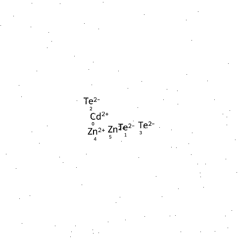 [Cd+2].[Te-2].[Te-2].[Te-2].[Zn+2].[Zn+2]